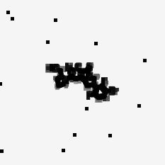 Cn1c(CC(=O)N2CCCC2CO)c2n(c1=S)CC(c1c(F)ccc(Br)c1F)C2